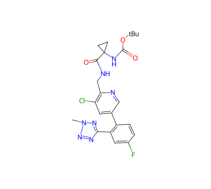 Cn1nnc(-c2cc(F)ccc2-c2cnc(CNC(=O)C3(NC(=O)OC(C)(C)C)CC3)c(Cl)c2)n1